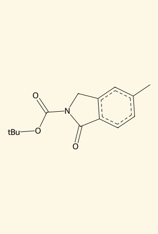 Cc1ccc2c(c1)CN(C(=O)OC(C)(C)C)C2=O